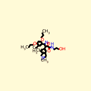 CCCCOc1cc(OCCCC)c(C(C)C)cc1-c1noc(C(=O)NCCCO)c1-c1ccc2c(c1)CCN(C)C2